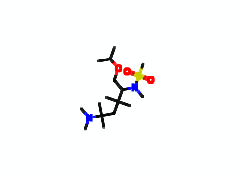 CC(C)OCC(N(C)S(C)(=O)=O)C(C)(C)CC(C)(C)N(C)C